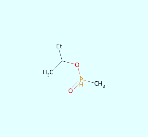 CCC(C)O[PH](C)=O